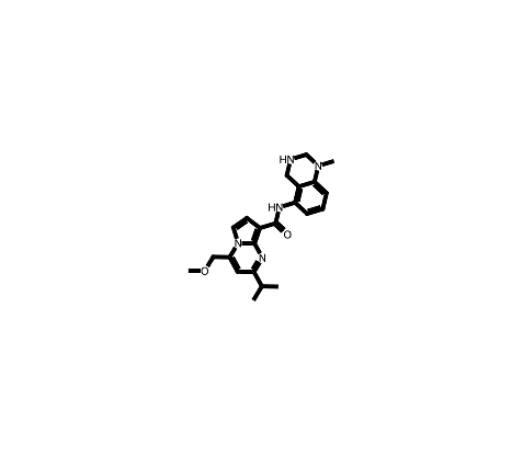 COCc1cc(C(C)C)nc2c(C(=O)Nc3cccc4c3CNCN4C)ccn12